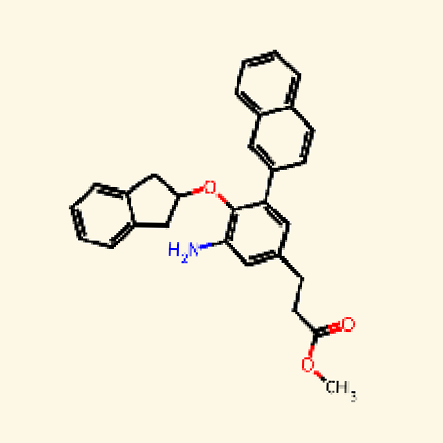 COC(=O)CCc1cc(N)c(OC2Cc3ccccc3C2)c(-c2ccc3ccccc3c2)c1